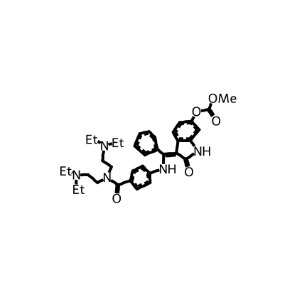 CCN(CC)CCN(CCN(CC)CC)C(=O)c1ccc(N/C(=C2\C(=O)Nc3cc(OC(=O)OC)ccc32)c2ccccc2)cc1